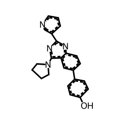 Oc1ccc(-c2ccc3nc(-c4cccnc4)nc(N4CCCC4)c3c2)cc1